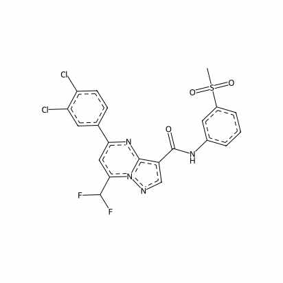 CS(=O)(=O)c1cccc(NC(=O)c2cnn3c(C(F)F)cc(-c4ccc(Cl)c(Cl)c4)nc23)c1